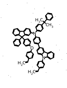 C=Cc1ccc(Oc2ccc(C3(c4ccccc4)c4ccccc4-c4ccc(N(c5ccc(-c6ccc7c(c6)c6ccccc6n7-c6ccc(C=C)cc6)cc5)c5ccc(C(C)(C)c6ccccc6)cc5)cc43)cc2)cc1